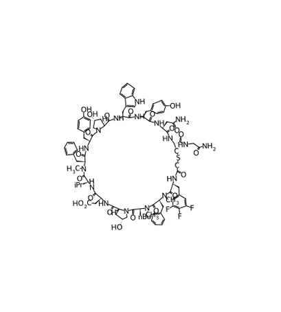 CCCC[C@H]1C(=O)N2C[C@H](O)C[C@@H]2C(=O)N[C@@H](CC(=O)O)C(=O)N[C@@H](C(C)C)C(=O)N(C)[C@@H](Cc2ccccc2)C(=O)N[C@@H](Cc2ccc(O)cc2)C(=O)N2C[C@H](O)C[C@H]2C(=O)N[C@@H](Cc2c[nH]c3ccccc23)C(=O)N[C@@H](Cc2ccc(O)cc2)C(=O)N[C@@H](CC(N)=O)C(=O)N[C@H](C(=O)NCC(N)=O)CSCC(=O)N[C@@H](Cc2cc(F)c(F)c(F)c2)C(=O)N(C)[C@@H](Cc2ccccc2)C(=O)N1C